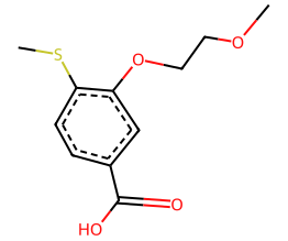 COCCOc1cc(C(=O)O)ccc1SC